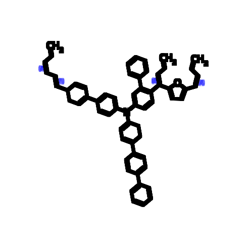 C=C/C=C\C=C\C1C=CC(c2ccc(N(C3=CC=C(c4ccc(-c5ccccc5)cc4)CC3)c3ccc(/C(=C/C=C)c4ccc(/C=C\C=C)o4)c(-c4ccccc4)c3)cc2)=CC1